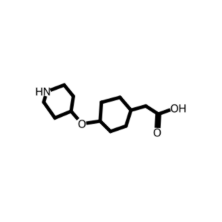 O=C(O)CC1CCC(OC2CCNCC2)CC1